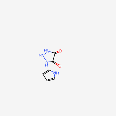 O=c1[nH][nH][nH]c1=O.c1cc[nH]c1